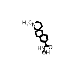 CN1CCCC2(CCc3cc(C(=O)NO)ccc3C2)C1